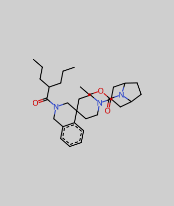 CCCC(CCC)C(=O)N1Cc2ccccc2C2(CCN(C3CC4CCC(C3)N4C(=O)OCC)CC2)C1